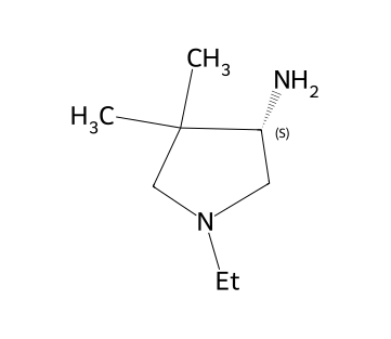 CCN1C[C@@H](N)C(C)(C)C1